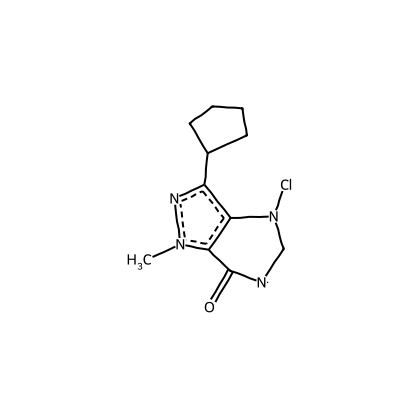 Cn1nc(C2CCCC2)c2c1C(=O)[N]CN2Cl